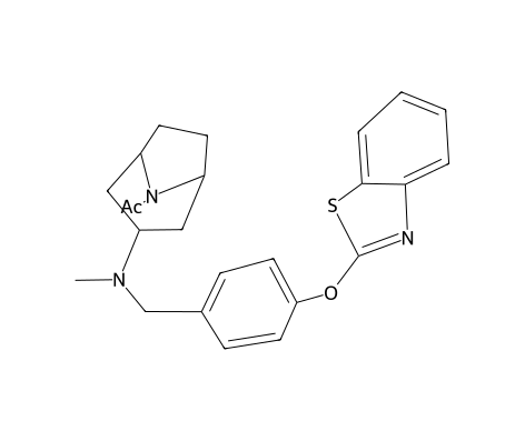 CC(=O)N1C2CCC1CC(N(C)Cc1ccc(Oc3nc4ccccc4s3)cc1)C2